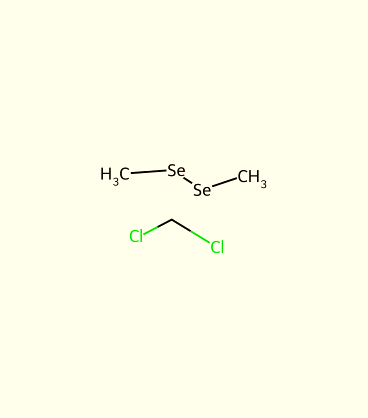 C[Se][Se]C.ClCCl